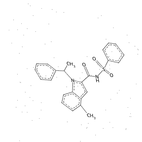 Cc1cccc2c1cc(C(=O)NS(=O)(=O)c1ccccc1)n2C(C)c1ccccc1